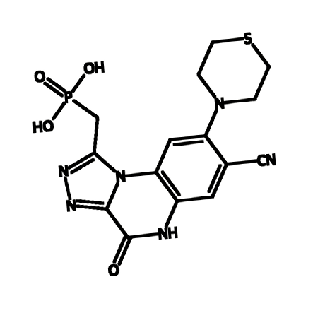 N#Cc1cc2[nH]c(=O)c3nnc(CP(=O)(O)O)n3c2cc1N1CCSCC1